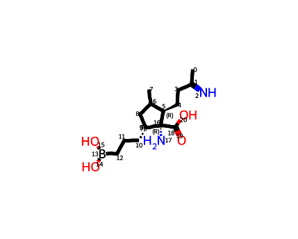 CC(=N)CC[C@@H]1C(C)C[C@@H](CCCB(O)O)[C@]1(N)C(=O)O